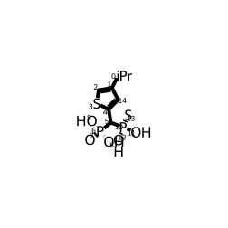 CC(C)c1csc(C(P(=O)(O)O)P(O)(O)=S)c1